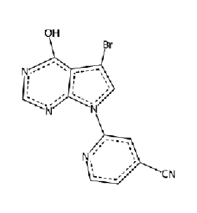 N#Cc1ccnc(-n2cc(Br)c3c(O)ncnc32)c1